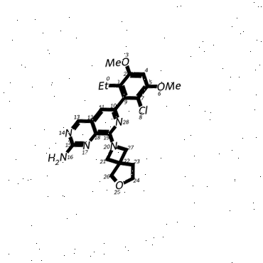 CCc1c(OC)cc(OC)c(Cl)c1-c1cc2cnc(N)nc2c(N2CC3(CCOC3)C2)n1